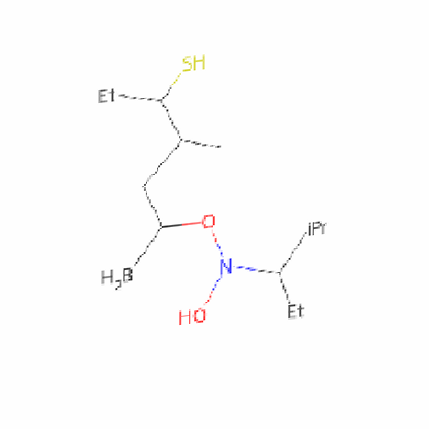 BC(CC(C)C(S)CC)ON(O)C(CC)C(C)C